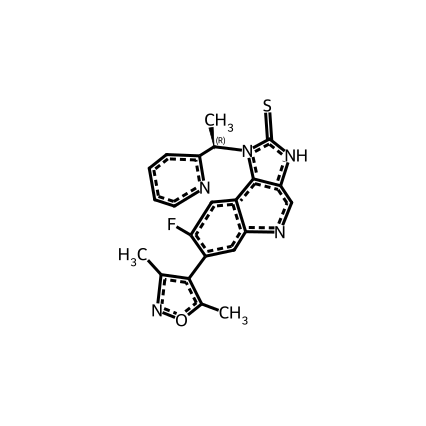 Cc1noc(C)c1-c1cc2ncc3[nH]c(=S)n([C@H](C)c4ccccn4)c3c2cc1F